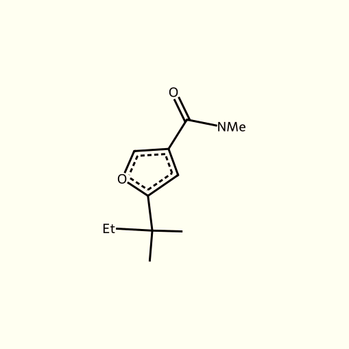 CCC(C)(C)c1cc(C(=O)NC)co1